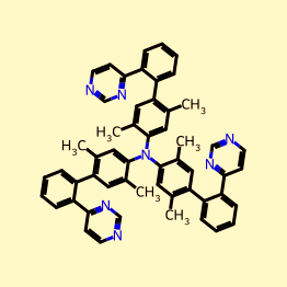 Cc1cc(N(c2cc(C)c(-c3ccccc3-c3ccncn3)cc2C)c2cc(C)c(-c3ccccc3-c3ccncn3)cc2C)c(C)cc1-c1ccccc1-c1ccncn1